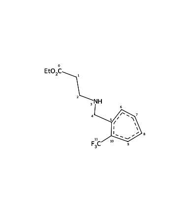 CCOC(=O)CCNCc1ccccc1C(F)(F)F